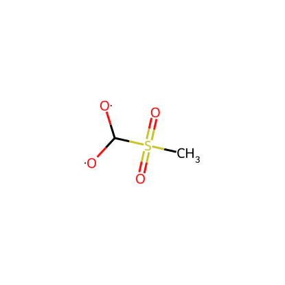 CS(=O)(=O)C([O])[O]